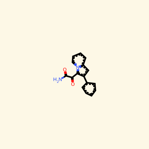 NC(=O)C(=O)c1c(-c2ccccc2)cc2ccccn12